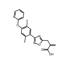 C=C(Cc1nc(-c2cc(F)c(Oc3ccccn3)cc2F)no1)C(=O)O